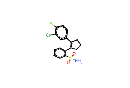 NS(=O)(=O)c1ccccc1C1=C(c2ccc(F)c(Cl)c2)CCC1